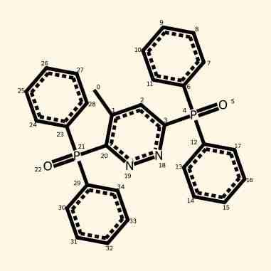 Cc1cc(P(=O)(c2ccccc2)c2ccccc2)nnc1P(=O)(c1ccccc1)c1ccccc1